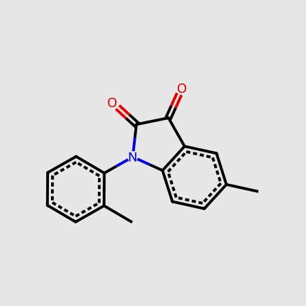 Cc1ccc2c(c1)C(=O)C(=O)N2c1ccccc1C